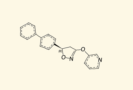 c1ccc(-c2ccc([C@H]3CC(Oc4cccnc4)=NO3)cc2)cc1